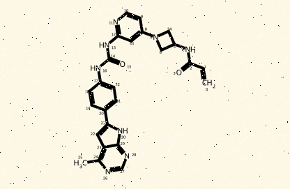 C=CC(=O)NC1CN(c2ccnc(NC(=O)Nc3ccc(-c4cc5c(C)ncnc5[nH]4)cc3)c2)C1